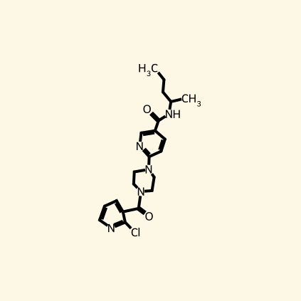 CCCC(C)NC(=O)c1ccc(N2CCN(C(=O)c3cccnc3Cl)CC2)nc1